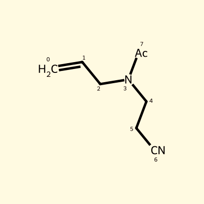 C=CCN(CCC#N)C(C)=O